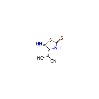 N#CC(C#N)=C1NC(=S)SC1=N